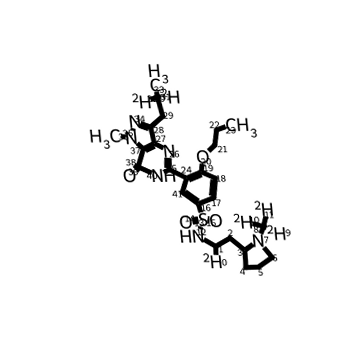 [2H]C(CC1CCCN1C([2H])([2H])[2H])NS(=O)(=O)c1ccc(OCCC)c(-c2nc3c(CC([2H])([2H])C)nn(C)c3c(=O)[nH]2)c1